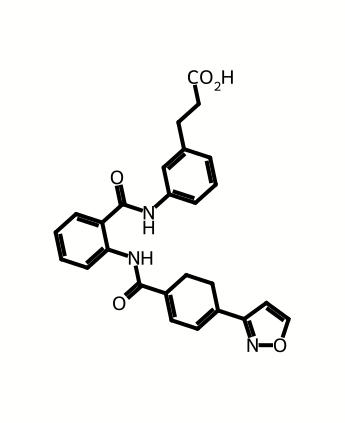 O=C(O)CCc1cccc(NC(=O)c2ccccc2NC(=O)C2=CC=C(c3ccon3)CC2)c1